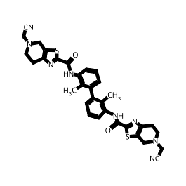 Cc1c(NC(=O)c2nc3c(s2)CN(CC#N)CC3)cccc1-c1cccc(NC(=O)c2nc3c(s2)CN(CC#N)CC3)c1C